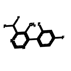 Cc1c(-c2ccc(F)cc2F)ncnc1C(F)F